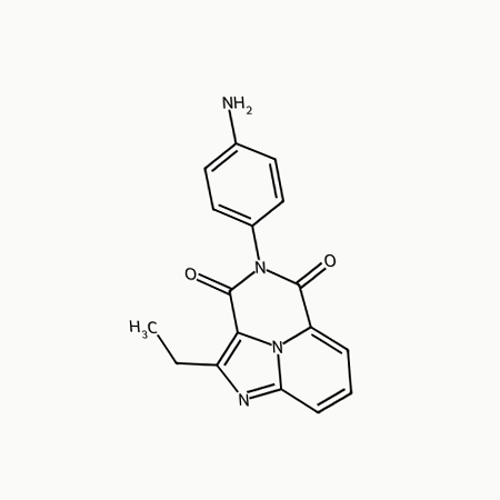 CCc1nc2cccc3c(=O)n(-c4ccc(N)cc4)c(=O)c1n23